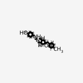 Cc1ccc(C[C@]2(O)C[C@H]3CN(CNc4ccc(O)cc4)C[C@H]3C2)cc1